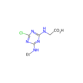 CCNc1nc(Cl)nc(NCC(=O)O)n1